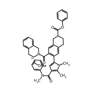 COC[C@@H]1Cc2ccccc2CN1C(=O)c1cc2c(cc1-c1cc(C(=O)N(C)c3ccccc3)c(C)n1C)CCN(C(=O)Oc1ccccc1)C2